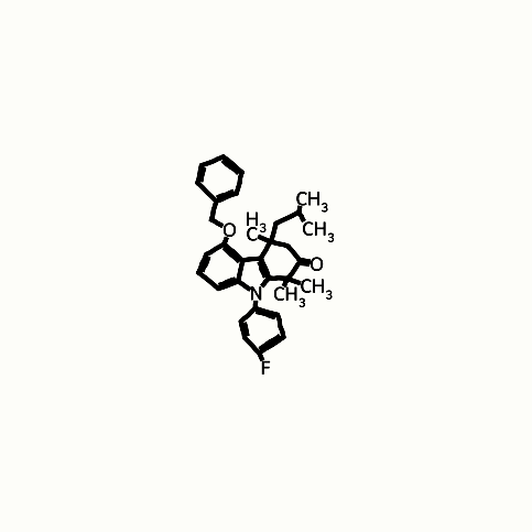 CC(C)CC1(C)CC(=O)C(C)(C)c2c1c1c(OCc3ccccc3)cccc1n2-c1ccc(F)cc1